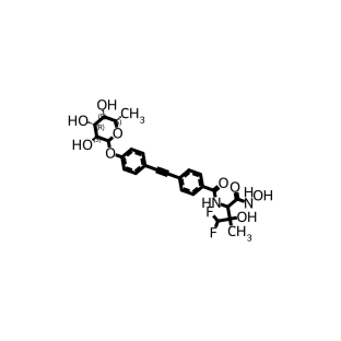 C[C@@H]1OC(Oc2ccc(C#Cc3ccc(C(=O)NC(C(=O)NO)C(C)(O)C(F)F)cc3)cc2)[C@@H](O)[C@H](O)[C@@H]1O